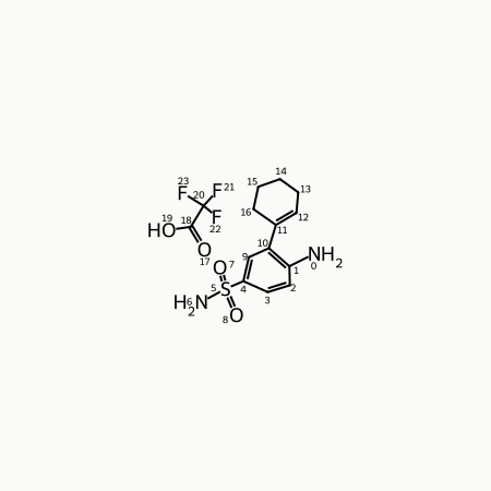 Nc1ccc(S(N)(=O)=O)cc1C1=CCCCC1.O=C(O)C(F)(F)F